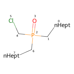 CCCCCCCCP(=O)(CCl)CCCCCCCC